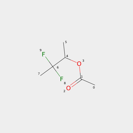 CC(=O)OC(C)C(C)(F)F